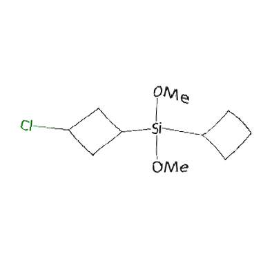 CO[Si](OC)(C1CCC1)C1CC(Cl)C1